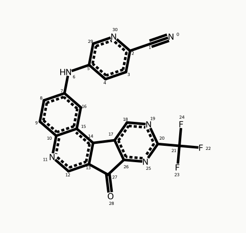 N#Cc1ccc(Nc2ccc3ncc4c(c3c2)-c2cnc(C(F)(F)F)nc2C4=O)cn1